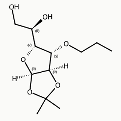 CCCO[C@@H]1[C@H]2OC(C)(C)O[C@H]2O[C@@H]1[C@H](O)CO